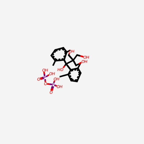 Cc1cccc(C)c1C(O)(c1c(C)cccc1C)C(CO)(CO)CO.O=P(O)(O)OP(=O)(O)O